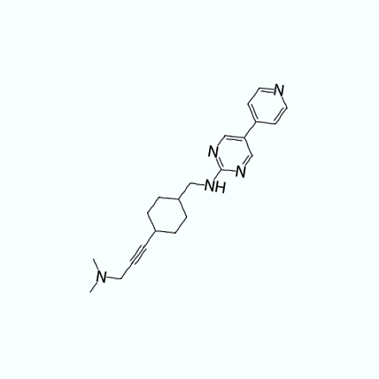 CN(C)CC#CC1CCC(CNc2ncc(-c3ccncc3)cn2)CC1